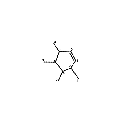 CC1C=CC(C)C(C)C1C